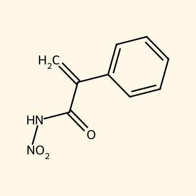 C=C(C(=O)N[N+](=O)[O-])c1ccccc1